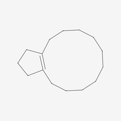 C1CCCCCC2=C(CCCC1)CCC2